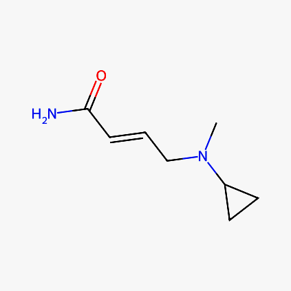 CN(CC=CC(N)=O)C1CC1